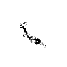 [CH2+][CH-]CCCCCC(=O)OCC1COC(c2ccc(C)cc2)OC1